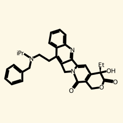 CC[C@@]1(O)C(=O)OCc2c1cc1n(c2=O)Cc2c-1nc1ccccc1c2CCN(Cc1ccccc1)C(C)C